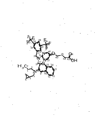 CCCN(CC1CC1)c1cc2ccccc2nc1CN(Cc1cc(C(F)(F)F)cc(C(F)(F)F)c1)c1ncc(OCCCC(=O)O)cn1